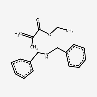 C=C(C)C(=O)OCC.c1ccc(CNCc2ccccc2)cc1